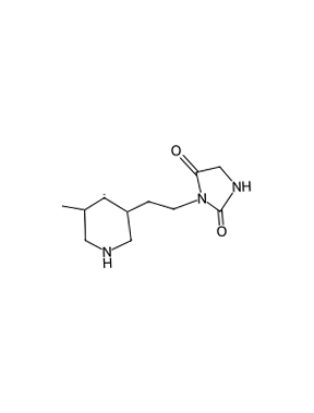 CC1[CH]C(CCN2C(=O)CNC2=O)CNC1